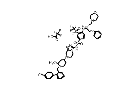 CC1CC(N2CCn3c(nnc3NS(=O)(=O)c3ccc(N[C@H](CCN4CCOCC4)CSc4ccccc4)c(S(=O)(=O)C(F)(F)F)c3)C2)CCN1Cc1ccccc1-c1ccc(Cl)cc1.O=C(O)C(F)(F)F